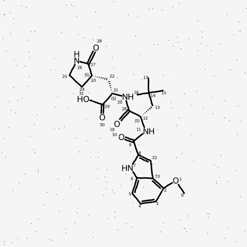 COc1cccc2[nH]c(C(=O)N[C@@H](CC(C)(C)C)C(=O)N[C@@H](C[C@@H]3CCNC3=O)C(=O)O)cc12